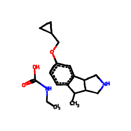 CC1c2ccc(OCC3CC3)cc2C2CNCC12.CCNC(=O)O